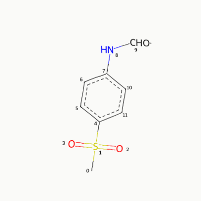 CS(=O)(=O)c1ccc(N[C]=O)cc1